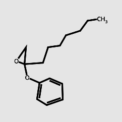 CCCCCCCC1(Oc2ccccc2)CO1